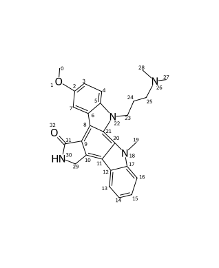 COc1ccc2c(c1)c1c3c(c4c5ccccc5n(C)c4c1n2CCCN(C)C)CNC3=O